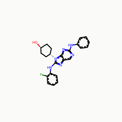 O[C@H]1CC[C@H](n2c(Nc3ccccc3F)nc3cnc(Nc4ccccc4)nc32)CC1